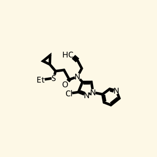 C#CCN(C(=O)CC(SCC)C1CC1)c1cn(-c2cccnc2)nc1Cl